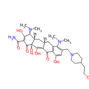 CN(C)c1c(CN2CCC(CCO)CC2)cc(O)c2c1C[C@H]1C[C@H]3[C@H](N(C)C)C(O)=C(C(N)=O)C(=O)[C@@]3(O)C(O)=C1C2=O